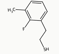 Cc1cccc(CCS)c1F